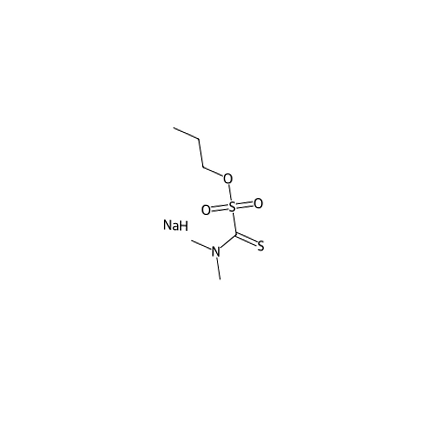 CCCOS(=O)(=O)C(=S)N(C)C.[NaH]